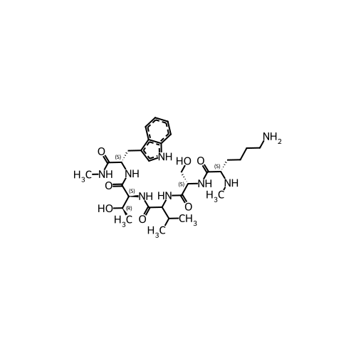 CNC(=O)[C@H](Cc1c[nH]c2ccccc12)NC(=O)[C@@H](NC(=O)C(NC(=O)[C@H](CO)NC(=O)[C@H](CCCCN)NC)C(C)C)[C@@H](C)O